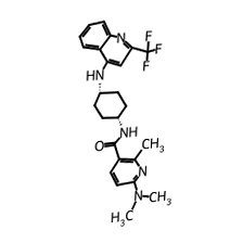 Cc1nc(N(C)C)ccc1C(=O)N[C@H]1CC[C@@H](Nc2cc(C(F)(F)F)nc3ccccc23)CC1